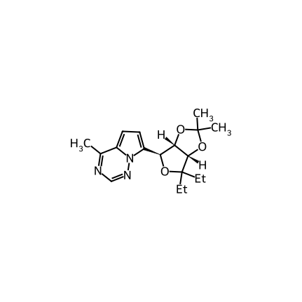 CCC1(CC)O[C@@H](c2ccc3c(C)ncnn23)[C@@H]2OC(C)(C)O[C@@H]21